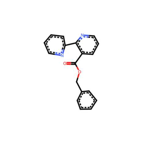 O=C(OCc1ccccc1)c1cccnc1-c1ccccn1